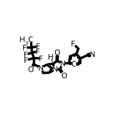 CC(F)(F)C(F)(F)C(F)(F)C(=O)N1CC2CC1[C@H]1C(=O)N(c3ccc(C#N)c(CF)c3)C(=O)N21